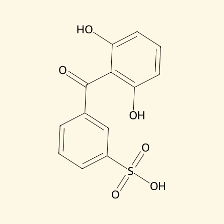 O=C(c1cccc(S(=O)(=O)O)c1)c1c(O)cccc1O